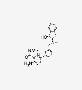 CNC(=O)c1nc(-c2cccc(CNC3Cc4ccccc4C3O)c2)cnc1N